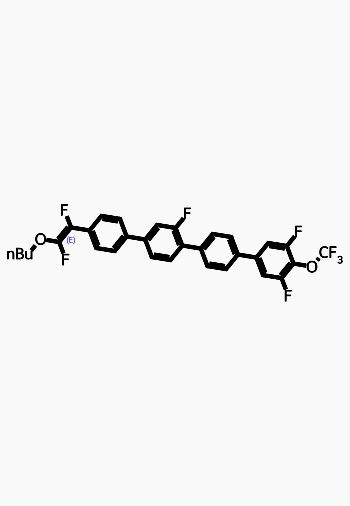 CCCCO/C(F)=C(\F)c1ccc(-c2ccc(-c3ccc(-c4cc(F)c(OC(F)(F)F)c(F)c4)cc3)c(F)c2)cc1